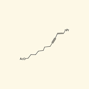 CCCC=CC#CCCCCCCCOC(C)=O